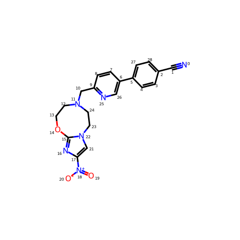 N#Cc1ccc(-c2ccc(CN3CCOc4nc([N+](=O)[O-])cn4CC3)nc2)cc1